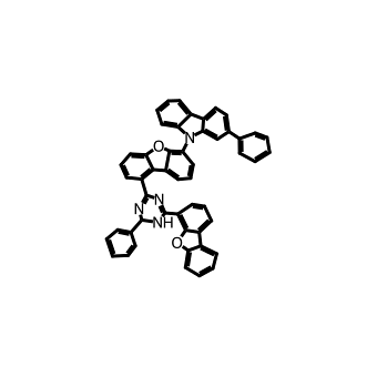 c1ccc(-c2ccc3c4ccccc4n(-c4cccc5c4oc4cccc(C6=NC(c7ccccc7)NC(c7cccc8c7oc7ccccc78)=N6)c45)c3c2)cc1